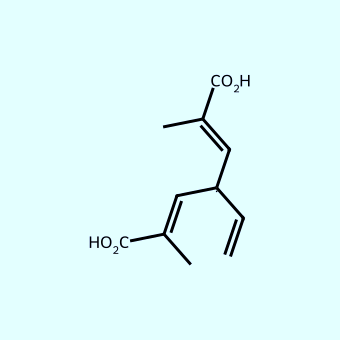 C=C[C](C=C(C)C(=O)O)C=C(C)C(=O)O